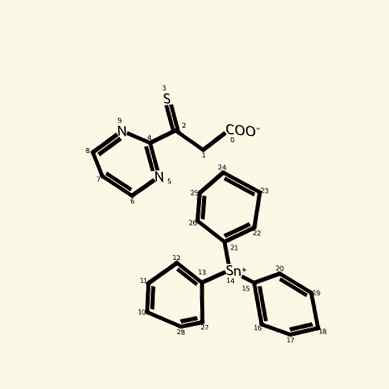 O=C([O-])CC(=S)c1ncccn1.c1cc[c]([Sn+]([c]2ccccc2)[c]2ccccc2)cc1